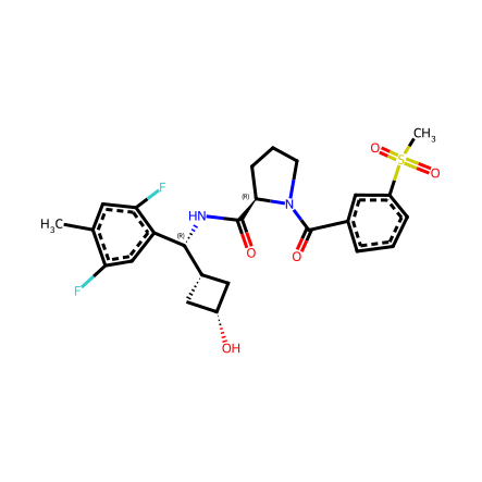 Cc1cc(F)c([C@H](NC(=O)[C@H]2CCCN2C(=O)c2cccc(S(C)(=O)=O)c2)[C@H]2C[C@@H](O)C2)cc1F